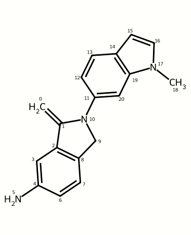 C=C1c2cc(N)ccc2CN1c1ccc2ccn(C)c2c1